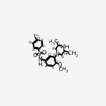 COc1ccc(NS(=O)(=O)c2ccc(I)cc2)cc1N1CC(C)NC(C)C1